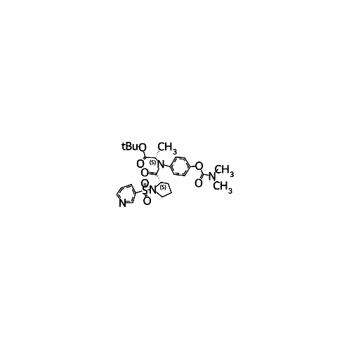 C[C@@H](C(=O)OC(C)(C)C)N(C(=O)[C@@H]1CCCN1S(=O)(=O)c1cccnc1)c1ccc(OC(=O)N(C)C)cc1